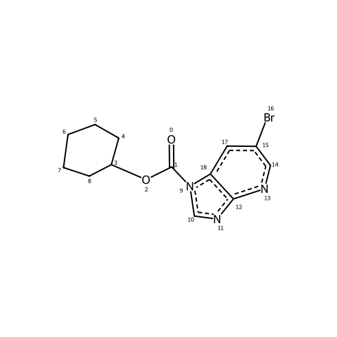 O=C(OC1CCCCC1)n1cnc2ncc(Br)cc21